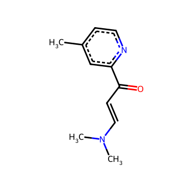 Cc1ccnc(C(=O)C=CN(C)C)c1